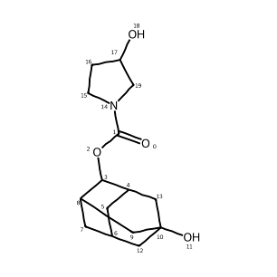 O=C(OC1C2CC3CC1CC(O)(C3)C2)N1CCC(O)C1